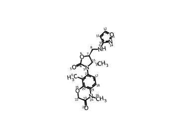 Cc1c(N2C(=O)O[C@@H](CNc3ccon3)[C@@H]2C)ccc2c1OCC(=O)N2C